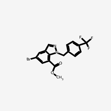 COC(=O)c1cc(Br)cc2cnn(Cc3ccc(C(F)(F)F)cc3)c12